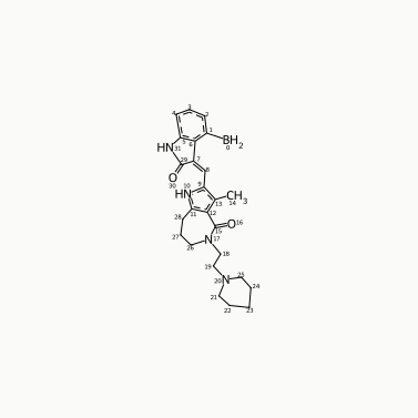 Bc1cccc2c1/C(=C/c1[nH]c3c(c1C)C(=O)N(CCN1CCCCC1)CCC3)C(=O)N2